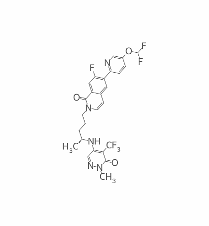 C[C@@H](CCCn1ccc2cc(-c3ccc(OC(F)F)cn3)c(F)cc2c1=O)Nc1cnn(C)c(=O)c1C(F)(F)F